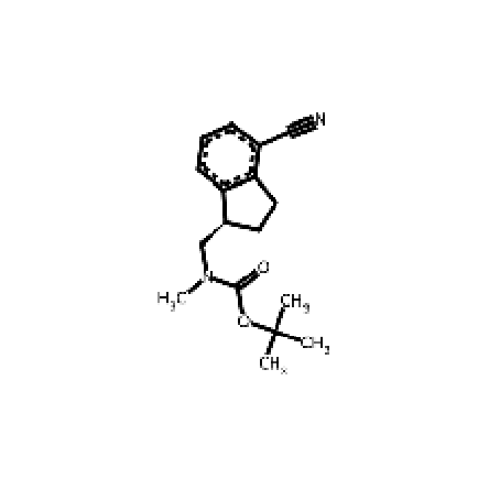 CN(C[C@@H]1CCc2c(C#N)cccc21)C(=O)OC(C)(C)C